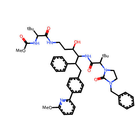 COC(=O)NC(C(=O)NCCC(O)C(NC(=O)C(N1CCN(Cc2ccccc2)C1=O)C(C)(C)C)C(Cc1ccc(-c2cccc(OC)n2)cc1)c1ccccc1)C(C)(C)C